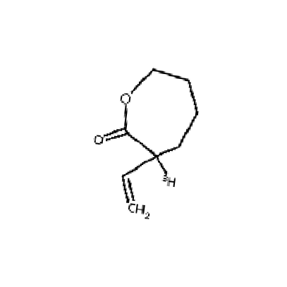 [3H]C1(C=C)CCCCOC1=O